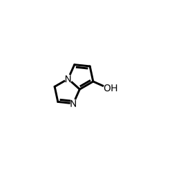 Oc1ccn2c1N=CC2